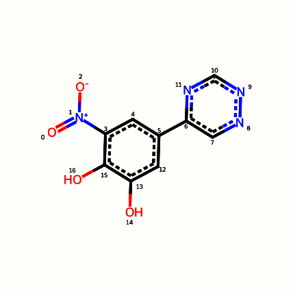 O=[N+]([O-])c1cc(-c2cnn[c]n2)cc(O)c1O